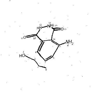 CCCO.Nc1cccc2c(=O)[nH][nH]c(=O)c12